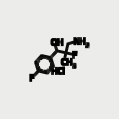 CC(F)(CN)C(O)c1ccc(F)cc1.Cl